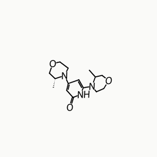 CC1COCCN1c1cc(N2CCOC[C@H]2C)cc(=O)[nH]1